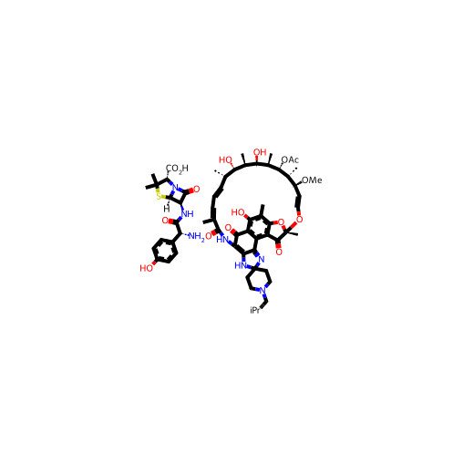 CC1(C)S[C@@H]2[C@H](NC(=O)[C@H](N)c3ccc(O)cc3)C(=O)N2[C@H]1C(=O)O.CO[C@H]1/C=C/O[C@@]2(C)Oc3c(C)c(O)c4c(c3C2=O)C2=NC3(CCN(CC(C)C)CC3)NC2=C(NC(=O)/C(C)=C\C=C\[C@H](C)[C@H](O)[C@@H](C)[C@@H](O)[C@@H](C)[C@H](OC(C)=O)[C@@H]1C)C4=O